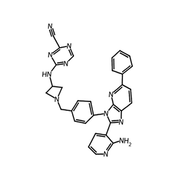 N#Cc1ncnc(NC2CN(Cc3ccc(-n4c(-c5cccnc5N)nc5ccc(-c6ccccc6)nc54)cc3)C2)n1